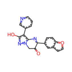 O=C1Cn2nc(O)c(-c3cccnc3)c2N=C1c1ccc2occc2c1